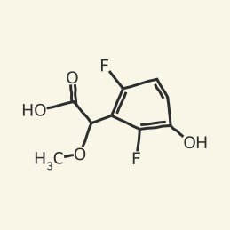 COC(C(=O)O)c1c(F)ccc(O)c1F